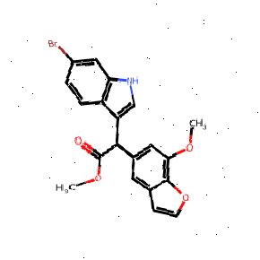 COC(=O)C(c1cc(OC)c2occc2c1)c1c[nH]c2cc(Br)ccc12